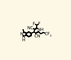 Cc1n[nH]c2ccc(C3C(C#N)=C(CCC(F)(F)F)NC(C(F)F)=C3C#N)cc12